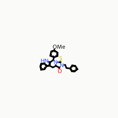 COc1ccc(C2c3[nH]c4ccccc4c3CC3C(=O)N(CCc4ccccc4)C(=S)N32)cc1